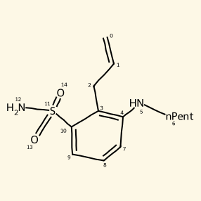 C=CCc1c(NCCCCC)cccc1S(N)(=O)=O